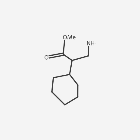 COC(=O)C(C[NH])C1CCCCC1